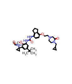 COc1c(NC(=O)Nc2ccc(OCCN3CCN(CC4CC4)C(=O)C3)c3c2CCC3)cc(C(C)(C)C)cc1C1(NC=O)CC1